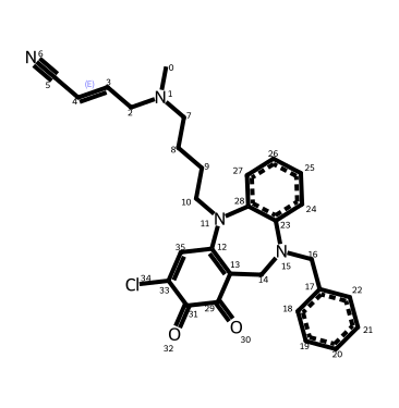 CN(C/C=C/C#N)CCCCN1C2=C(CN(Cc3ccccc3)c3ccccc31)C(=O)C(=O)C(Cl)=C2